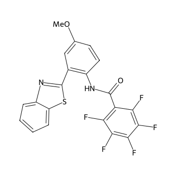 COc1ccc(NC(=O)c2c(F)c(F)c(F)c(F)c2F)c(-c2nc3ccccc3s2)c1